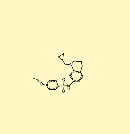 CCOc1ccc(S(=O)(=O)Nc2ccc3c(c2)N(CC2CC2)CCC3)cc1